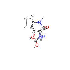 Cn1c2c(c3oc(=O)[nH]c3c1=O)CCC2